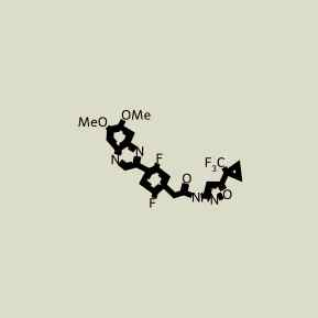 COc1cc2ncc(-c3cc(F)c(CC(=O)Nc4cc(C5(C(F)(F)F)CC5)on4)cc3F)nc2cc1OC